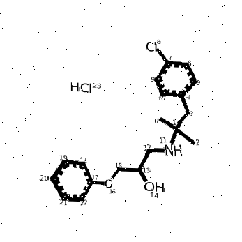 CC(C)(Cc1ccc(Cl)cc1)NCC(O)COc1ccccc1.Cl